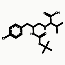 CC(C)C(NCC(Cc1ccc(Cl)cc1)NC(=O)OC(C)(C)C)C(=O)O